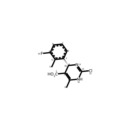 CC1=C(C(=O)O)[C@H](c2cccc(F)c2C)N=C(Cl)N1